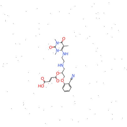 Cc1c(NCCNCC(COc2ccccc2C#N)OC(=O)/C=C/C(=O)O)n(C)c(=O)n(C)c1=O